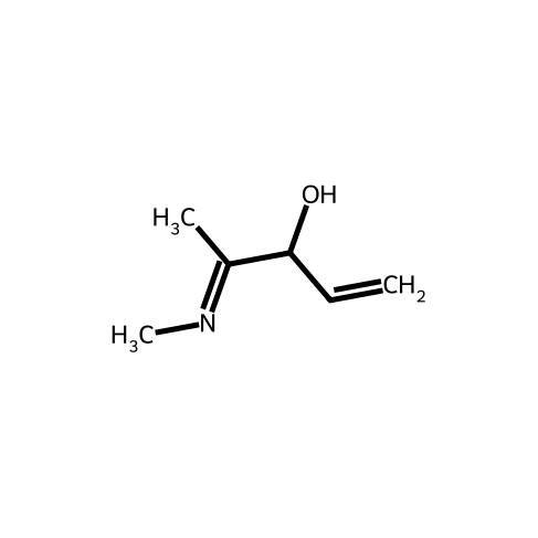 C=CC(O)C(C)=NC